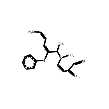 C=C(C=N)/C=C\N(C)C(C)/C(=C\C=C/C)Sc1cccnc1